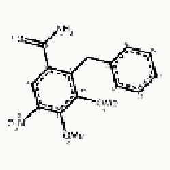 COc1c([N+](=O)[O-])cc(C(N)=O)c(Cc2ccccc2)c1OC